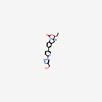 CC[C@@H]1OC(=O)N2c3ccc(-c4ccc(-n5cc(CO)nn5)nc4)cc3C[C@H]12